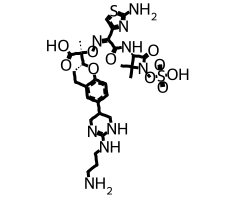 CC1(C)[C@H](NC(=O)/C(=N\O[C@](C)(C(=O)O)[C@H]2CCc3cc(C4CN=C(NCCCN)NC4)ccc3O2)c2csc(N)n2)C(=O)N1OS(=O)(=O)O